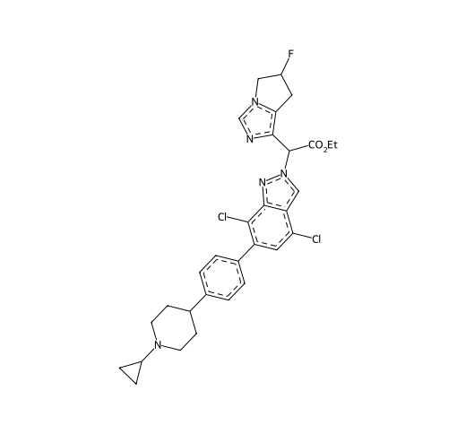 CCOC(=O)C(c1ncn2c1CC(F)C2)n1cc2c(Cl)cc(-c3ccc(C4CCN(C5CC5)CC4)cc3)c(Cl)c2n1